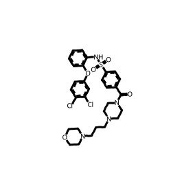 O=C(c1ccc(S(=O)(=O)Nc2ccccc2Oc2ccc(Cl)c(Cl)c2)cc1)N1CCN(CCCN2CCOCC2)CC1